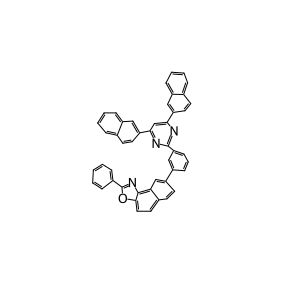 c1ccc(-c2nc3c(ccc4ccc(-c5cccc(-c6nc(-c7ccc8ccccc8c7)cc(-c7ccc8ccccc8c7)n6)c5)cc43)o2)cc1